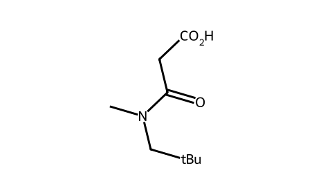 CN(CC(C)(C)C)C(=O)CC(=O)O